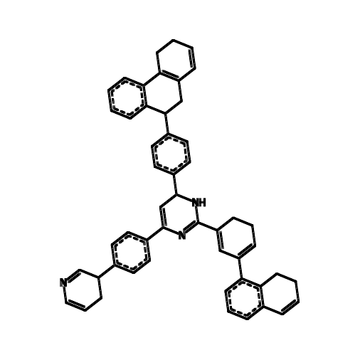 C1=CC2=C(CC1)c1ccccc1C(c1ccc(C3C=C(c4ccc(C5C=NC=CC5)cc4)N=C(C4=CC(c5cccc6c5CCC=C6)=CCC4)N3)cc1)C2